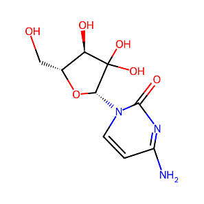 Nc1ccn([C@@H]2O[C@H](CO)[C@@H](O)C2(O)O)c(=O)n1